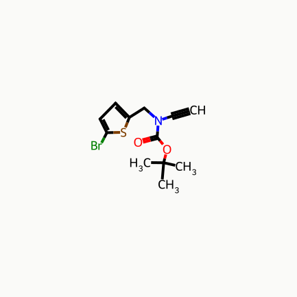 C#CN(Cc1ccc(Br)s1)C(=O)OC(C)(C)C